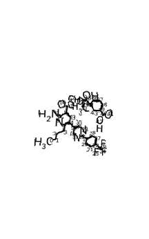 CCCCc1nc(N)c(C(=O)OC)cc1-c1cnc(-c2ccc(C(F)(F)F)cc2)nc1.C[C@@]1(C(=O)O)C=CC=C(C(=O)O)C1